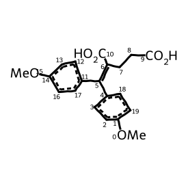 COc1ccc(C(=C(CCC(=O)O)C(=O)O)c2ccc(OC)cc2)cc1